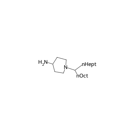 CCCCCCCCC(CCCCCCC)N1CCC(N)CC1